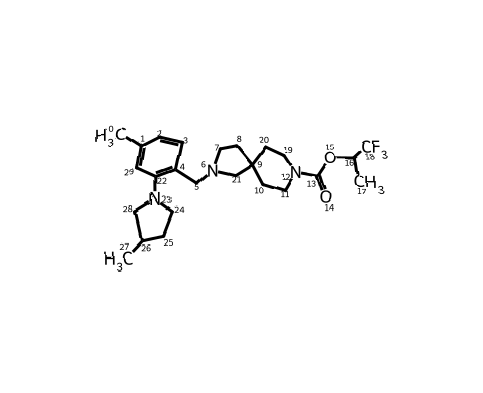 Cc1ccc(CN2CCC3(CCN(C(=O)OC(C)C(F)(F)F)CC3)C2)c(N2CCC(C)C2)c1